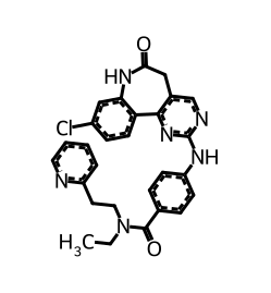 CCN(CCc1ccccn1)C(=O)c1ccc(Nc2ncc3c(n2)-c2ccc(Cl)cc2NC(=O)C3)cc1